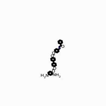 Nc1ccc(OCOc2ccc(-c3ccc(OCOc4ccc(/C=C/C(=O)c5ccccc5)cc4)cc3)cc2)c(N)c1